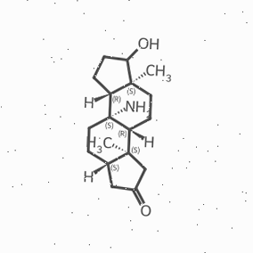 C[C@]12CC(=O)C[C@@H]1CC[C@]1(N)[C@@H]2CC[C@]2(C)C(O)CC[C@@H]12